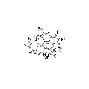 Cc1c(Br)cc2c(F)c(F)c(F)c(F)c2c1-c1c(OC(C)(C)C)c(Br)cc2c(F)c(F)c(F)c(F)c12